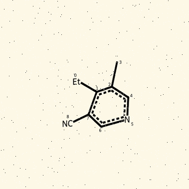 CCc1c(C)cncc1C#N